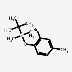 Cc1ccc(O[Si](C)(C)C(C)(C)C)c(Br)c1